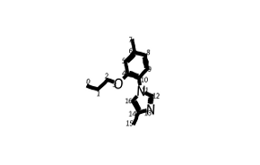 CCCOc1cc(C)ccc1-n1cnc(C)c1